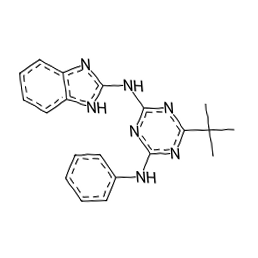 CC(C)(C)c1nc(Nc2ccccc2)nc(Nc2nc3ccccc3[nH]2)n1